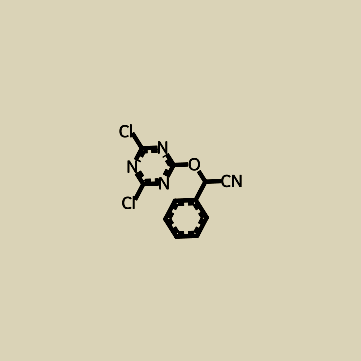 N#CC(Oc1nc(Cl)nc(Cl)n1)c1ccccc1